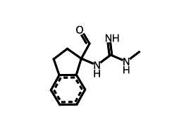 CNC(=N)NC1(C=O)CCc2ccccc21